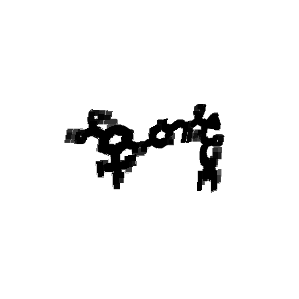 CC(O)c1ccc(Oc2cnc(CNC(=O)C3(NC(=O)CC(F)(F)F)CC3)nc2)c(C(F)(F)F)c1